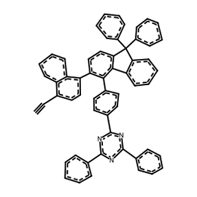 C#Cc1ccc(-c2ccc3c(c2-c2ccc(-c4nc(-c5ccccc5)nc(-c5ccccc5)n4)cc2)-c2ccccc2C3(c2ccccc2)c2ccccc2)c2ccccc12